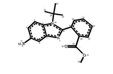 Bc1ccc2c(c1)nc(-c1ccccc1C(=O)OC)n2C(C)(C)C